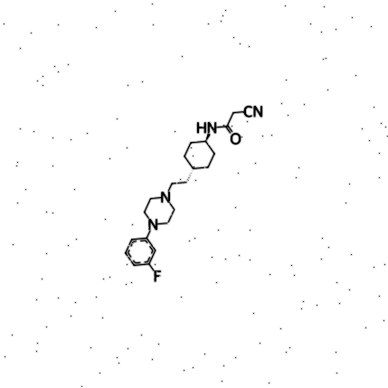 N#CCC(=O)N[C@H]1CC[C@H](CCN2CCN(c3cccc(F)c3)CC2)CC1